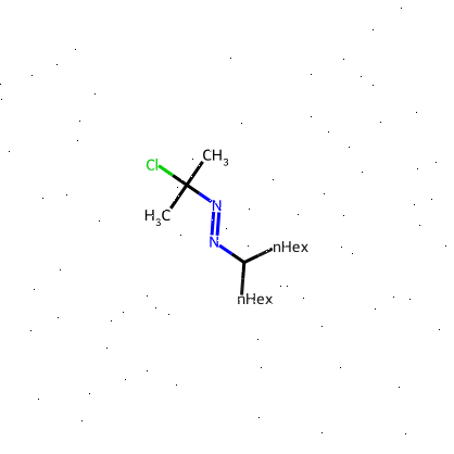 CCCCCCC(CCCCCC)N=NC(C)(C)Cl